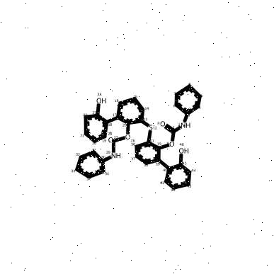 O=C(Nc1ccccc1)Oc1c(Sc2cccc(-c3ccccc3O)c2OC(=O)Nc2ccccc2)cccc1-c1ccccc1O